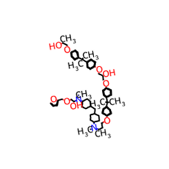 CC(O)COc1ccc(C(C)(C)c2ccc(OCC(O)COc3ccc(C(C)(C)c4ccc(OCCC(C)N(C)C5CCC(CC6CCC(N(C)C(O)COCc7ccco7)CC6)CC5)cc4)cc3)cc2)cc1